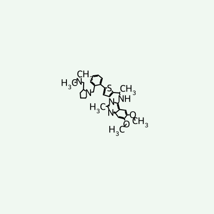 COc1cc2nc(C)nc(NC(C)c3ccc(-c4ccccc4CN4CCCC4CN(C)C)s3)c2cc1OC